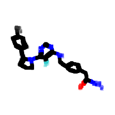 NC(=O)Cc1ccc(CNc2ncnc(N3CCCC3c3ccc(C(F)(F)F)cc3)c2F)cc1